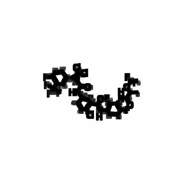 CC(OC(F)F)C(=O)Nc1c(F)ccc(NC(=O)c2cc(NC(=O)[C@H]3[C@H](c4ccc(F)c(C(F)(F)F)c4)C3(Cl)Cl)ccc2Cl)c1F